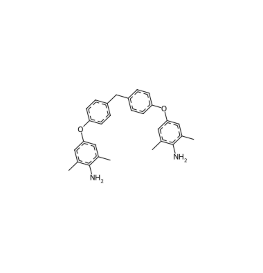 Cc1cc(Oc2ccc(Cc3ccc(Oc4cc(C)c(N)c(C)c4)cc3)cc2)cc(C)c1N